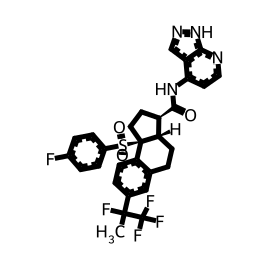 CC(F)(c1ccc2c(c1)CC[C@H]1[C@H](C(=O)Nc3ccnc4[nH]ncc34)CC[C@@]21S(=O)(=O)c1ccc(F)cc1)C(F)(F)F